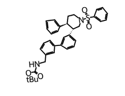 CC(C)(C)OC(=O)NCc1cccc(-c2cccc([C@H]3CN(S(=O)(=O)c4ccccc4)CC[C@@H]3c3ccccc3)c2)c1